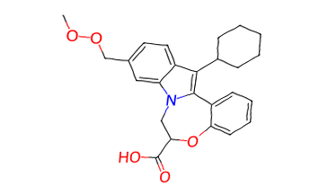 COOCc1ccc2c(C3CCCCC3)c3n(c2c1)CC(C(=O)O)Oc1ccccc1-3